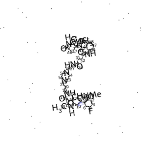 CNc1ccc(F)cc1/C(C=O)=C/c1[nH]c(C)c(C(=O)NCCCN2CCN(CCNC(=O)CCCNc3cccc(C=O)c3C(=O)N(C)C3CCC(=O)NC3=O)CC2)c1C